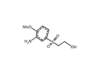 COc1ccc(S(=O)(=O)CCO)cc1N